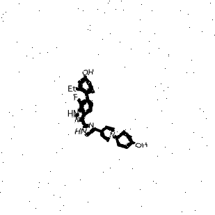 CCc1cc(O)ccc1-c1ccc2c(-c3nc(C4=CCN(C5CCC(O)CC5)CC4)c[nH]3)n[nH]c2c1F